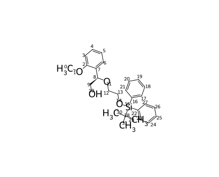 COc1ccccc1[C@H](CO)OCCO[Si](c1ccccc1)(c1ccccc1)C(C)(C)C